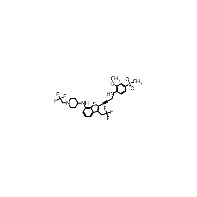 COc1cc(S(C)(=O)=O)ccc1NCC#Cc1sc2c(NC3CCN(CC(F)(F)F)CC3)cccc2c1CC(F)(F)F